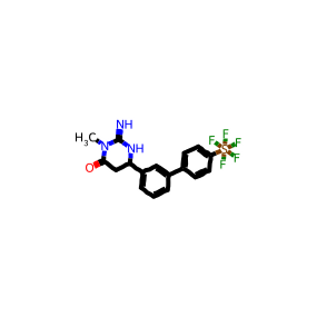 CN1C(=N)NC(c2cccc(-c3ccc(S(F)(F)(F)(F)F)cc3)c2)CC1=O